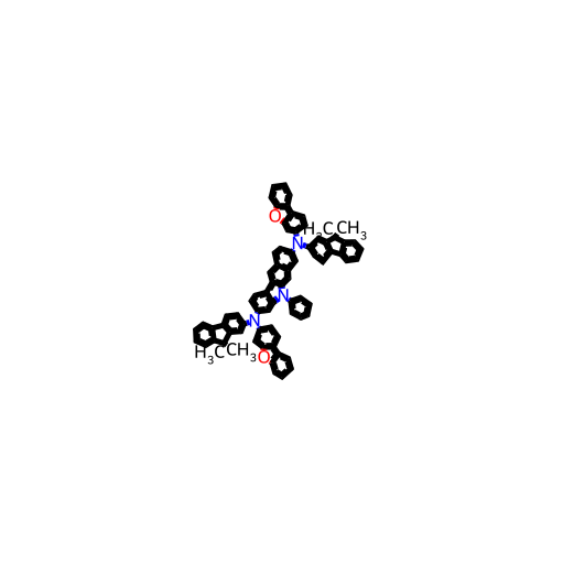 CC1(C)c2ccccc2-c2ccc(N(c3ccc4cc5c6ccc(N(c7ccc8c(c7)C(C)(C)c7ccccc7-8)c7ccc8c(c7)oc7ccccc78)cc6n(-c6ccccc6)c5cc4c3)c3ccc4c(c3)oc3ccccc34)cc21